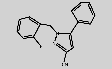 N#Cc1cc(-c2ccccc2)n(Cc2ccccc2F)n1